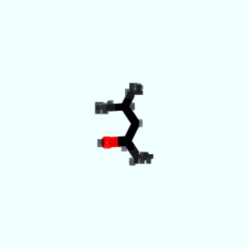 CCCC(=O)CC(CC)CC